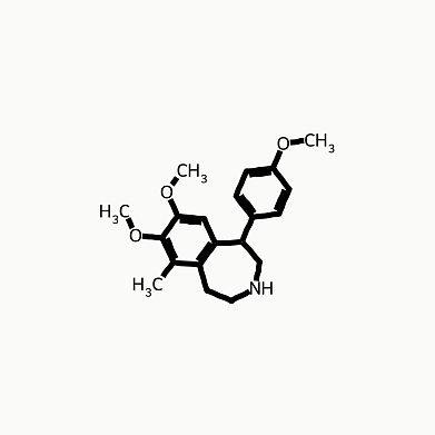 COc1ccc(C2CNCCc3c2cc(OC)c(OC)c3C)cc1